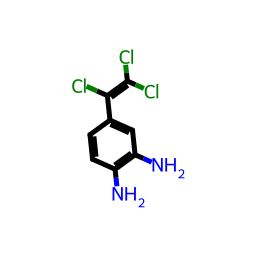 Nc1ccc(C(Cl)=C(Cl)Cl)cc1N